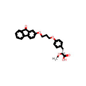 CO[C@H](Cc1ccc(OCCCOc2ccc3c(c2)C(=O)c2ccccc2-3)cc1)C(=O)O